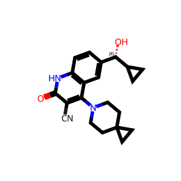 N#Cc1c(N2CCC3(CC2)CC3)c2cc([C@H](O)C3CC3)ccc2[nH]c1=O